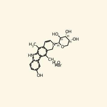 Br.Cc1c2c(c(C)c3c1[nH]c1ccc(O)cc13)CN([C@@H]1OC[C@@H](O)[C@@H](O)[C@@H]1O)C=C2.O